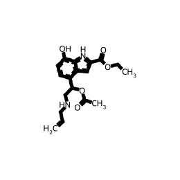 C=CCNCC(OC(C)=O)c1ccc(O)c2[nH]c(C(=O)OCC)cc12